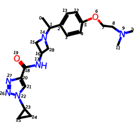 CC(c1ccc(OCCN(C)C)cc1)N1CC(NC(=O)c2cn(C3CC3)nn2)C1